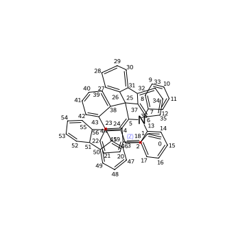 C=C/C=C\C1=C(N(c2ccccc2)c2ccccc2-c2ccccc2)C2(c3ccccc3-c3ccccc32)c2ccccc2C12c1ccccc1C1C=CC=CC12